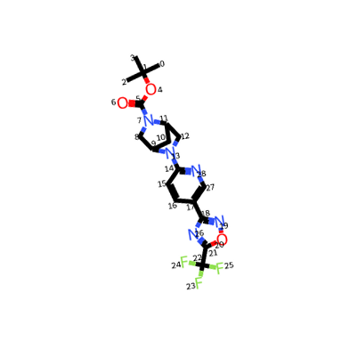 CC(C)(C)OC(=O)N1CC2CC1CN2c1ccc(-c2noc(C(F)(F)F)n2)cn1